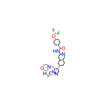 Cn1ncc(-c2ccc3cnc(NC(=O)c4ccc(OC(F)F)cc4)cc3c2)c1CN1CCOCC1